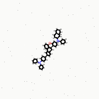 c1ccc(N(c2ccccc2)c2ccc(-c3ccc4cc5c6c(cccc6c4c3)Oc3cc(N(c4ccccc4)c4ccc6ccccc6c4)ccc3-5)cc2)cc1